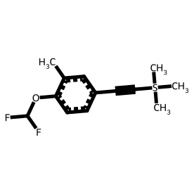 Cc1cc(C#CS(C)(C)C)ccc1OC(F)F